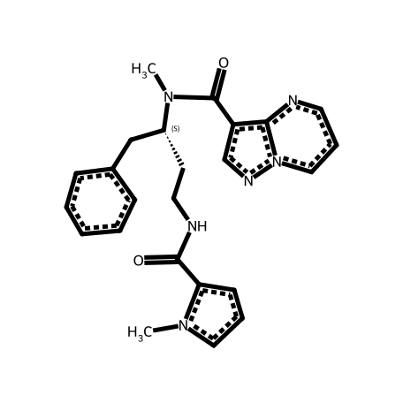 CN(C(=O)c1cnn2cccnc12)[C@H](CCNC(=O)c1cccn1C)Cc1ccccc1